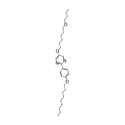 CCCCCCCCCOc1ccc(-c2ncc(OCCCCCCOCCCC)cn2)cc1